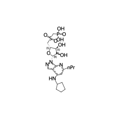 CCCc1cc(NC2CCCC2)c2cnn([C@@H]3O[C@H](CS(=O)(=O)CP(=O)(O)O)[C@@H](O)[C@H]3O)c2n1